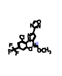 CO/C=N/c1cc(-c2ncon2)nn1-c1c(Cl)cc(C(F)(F)F)cc1Cl